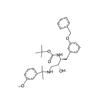 COc1cccc(C(C)(C)NC[C@@H](O)[C@H](Cc2cccc(OCc3ccccc3)c2)NC(=O)OC(C)(C)C)c1